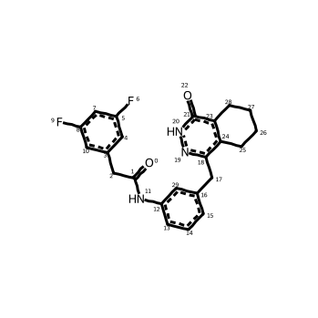 O=C(Cc1cc(F)cc(F)c1)Nc1cccc(Cc2n[nH]c(=O)c3c2CCCC3)c1